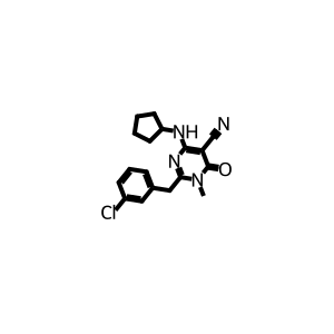 Cn1c(Cc2cccc(Cl)c2)nc(NC2CCCC2)c(C#N)c1=O